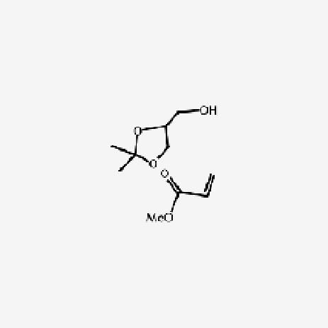 C=CC(=O)OC.CC1(C)OCC(CO)O1